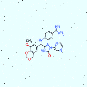 COc1cc(C(Nc2ccc(C(=N)N)cc2)c2nn(-c3cnccn3)c(=O)[nH]2)cc2c1OCOC2